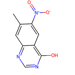 Cc1cc2ncnc(O)c2cc1[N+](=O)[O-]